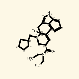 CCN(CC)C(=O)[C@@H]1C=C2c3cccc4[nH]cc(c34)C[C@H]2N(CC2CCCC2)C1